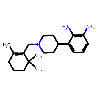 CC1=C(CN2CCC(c3cccc(N)c3N)CC2)C(C)(C)CCC1